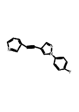 Fc1ccc(-n2cc(C#Cc3cccnc3)cn2)cc1